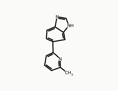 Cc1cccc(-c2ccc3nc[nH]c3c2)n1